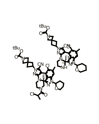 CC[C@@]1(C)CN(C(=O)C(C)Cl)CCN1c1nn(C2CC3(C2)CN(C(=O)OC(C)(C)C)C3)c(C#N)c1-c1c(Cl)c(C)cc2c1cnn2C1CCCCO1.CC[C@@]1(C)CNCCN1c1nn(C2CC3(C2)CN(C(=O)OC(C)(C)C)C3)c(C#N)c1-c1c(Cl)c(C)cc2c1cnn2C1CCCCO1